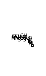 Cc1c2nc(NCC(=O)N3CCN(C4CCCC4)CC3)sc2cc2sc(NC(=O)c3ccco3)nc12